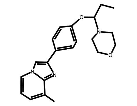 CCC(Oc1ccc(-c2cn3cccc(C)c3n2)cc1)N1CCOCC1